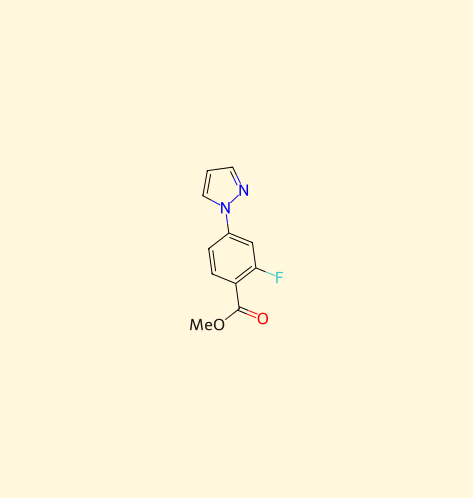 COC(=O)c1ccc(-n2cccn2)cc1F